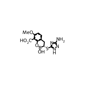 COc1ccc2c(c1C(=O)O)OB(O)[C@@H](Sc1nc(N)n[nH]1)C2